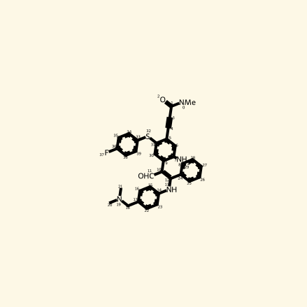 CNC(=O)C#Cc1cc(N)c(/C(C=O)=C(/Nc2ccc(CN(C)C)cc2)c2ccccc2)cc1Sc1ccc(F)cc1